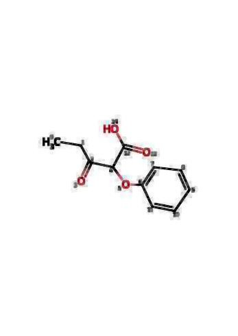 CCC(=O)C(Oc1ccccc1)C(=O)O